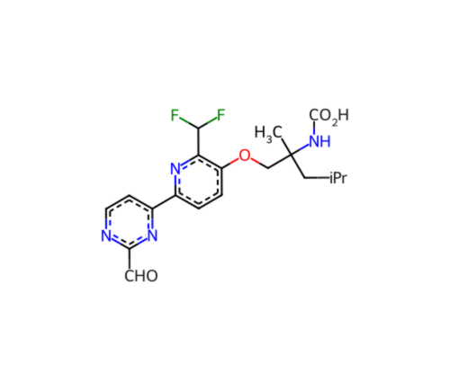 CC(C)CC(C)(COc1ccc(-c2ccnc(C=O)n2)nc1C(F)F)NC(=O)O